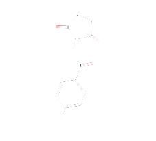 O=C(ON1C(=O)CCC1=O)c1ccc(F)cc1